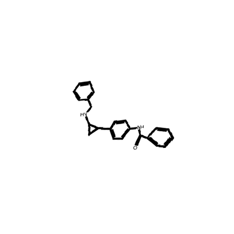 O=C(Nc1ccc(C2CC2NCc2ccccc2)cc1)c1ccccc1